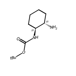 CC(C)(C)OC(=O)N[C@H]1CCCC[C@@H]1N